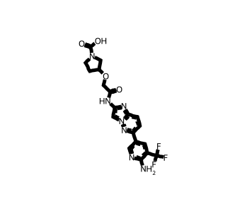 Nc1ncc(-c2ccc3nc(NC(=O)COC4CCN(C(=O)O)C4)cn3n2)cc1C(F)(F)F